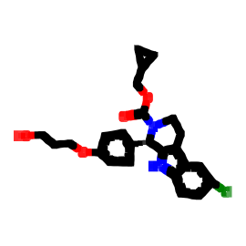 O=C(OCC1CC1)N1CCc2c([nH]c3ccc(Cl)cc23)[C@@H]1c1ccc(OCCCO)cc1